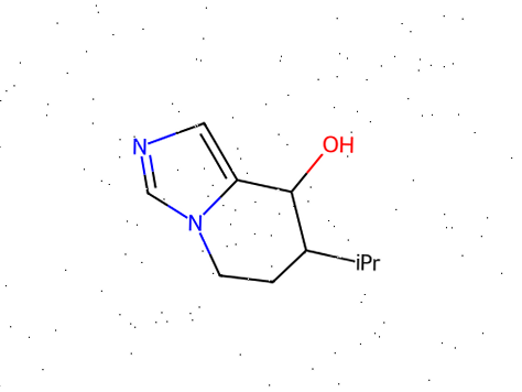 CC(C)C1CCn2cncc2C1O